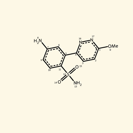 COc1ccc(-c2cc(N)ccc2S(N)(=O)=O)nn1